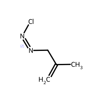 C=C(C)C/N=N\Cl